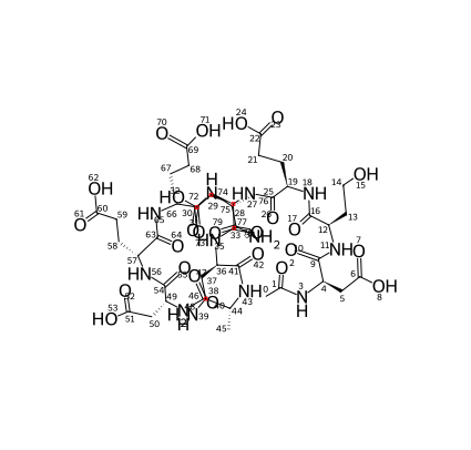 CC(=O)N[C@H](CC(=O)O)C(=O)N[C@H](CCO)C(=O)N[C@H](CCC(=O)O)C(=O)N[C@H](CC(=O)O)C(=O)N[C@H](CC(N)=O)C(=O)N[C@H](C)C(=O)N[C@H](CC(=O)O)C(=O)N[C@H](CCC(=O)O)C(=O)N[C@H](CCC(=O)O)C(=O)N[C@H](C)C(N)=O